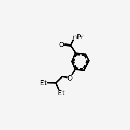 CCCC(=O)c1cccc(OCC(CC)CC)c1